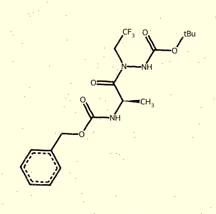 C[C@@H](NC(=O)OCc1ccccc1)C(=O)N(CC(F)(F)F)NC(=O)OC(C)(C)C